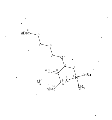 CCCCCCCCCCCCCCOC(C[N+](C)(C)CCCC)C(=O)CCCCCCCCCCC.[Cl-]